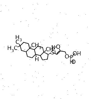 CC1(C)CC[C@@]2(C)C(CC[C@@H]3C2CC[C@@]2(C)C3CC[C@@H]2S2=NOC(CO[PH](=O)O)=C2)C1